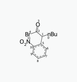 CCCCC(C(=O)Br)c1ccccc1[N+](=O)[O-]